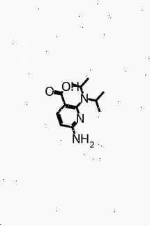 CC(C)N(c1nc(N)ccc1C(=O)O)C(C)C